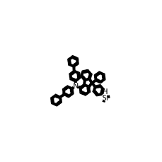 C[SiH](C)c1ccc(C2(c3ccccc3)c3ccccc3-c3c(N(c4ccc(-c5ccccc5)cc4)c4ccc(-c5ccccc5)cc4)cccc32)cc1